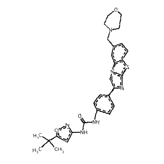 CC(C)(C)c1cc(NC(=O)Nc2ccc(-c3cn4c(n3)sc3ccc(CN5CCOCC5)cc34)cc2)no1